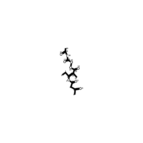 CCC(OC(=O)CC(C)=O)=C(C)C(=O)OOC(=O)CC(C)=O